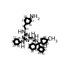 Cc1ccc(C(NCNc2nc(NCCc3ccc(N)cc3)nc(Nc3ccccc3)n2)(c2ccccc2)c2ccccc2Cl)cc1